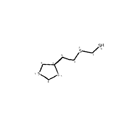 SCSCCC1CSCS1